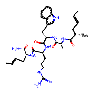 CC=CC[C@H](NC)C(=O)N[C@@H](C)C(=O)N[C@@H](Cc1c[nH]c2ccccc12)C(=O)N[C@@H](CCCNC(=N)N)C(=O)N[C@@H](C/C=C/C)C(N)=O